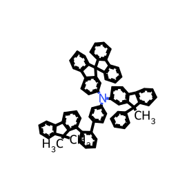 CC1(C)c2ccccc2-c2cccc(-c3ccccc3-c3ccc(N(c4ccc5c(c4)C(C)(c4ccccc4)c4ccccc4-5)c4ccc5c(c4)C4(c6ccccc6-c6ccccc64)c4ccccc4-5)cc3)c21